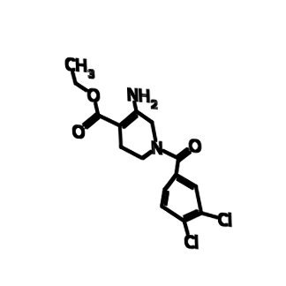 CCOC(=O)C1=C(N)CN(C(=O)c2ccc(Cl)c(Cl)c2)CC1